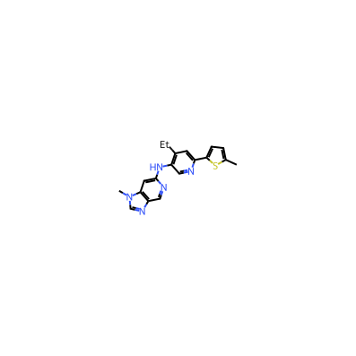 CCc1cc(-c2ccc(C)s2)ncc1Nc1cc2c(cn1)ncn2C